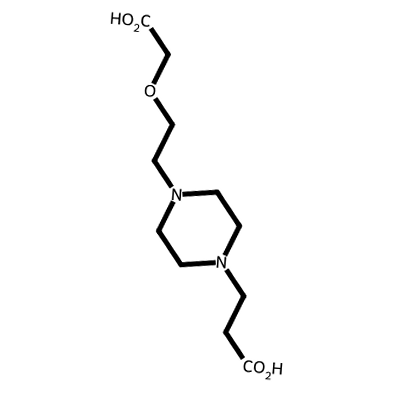 O=C(O)CCN1CCN(CCOCC(=O)O)CC1